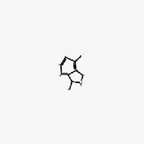 CC1OCc2c(F)cccc21